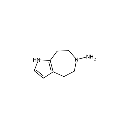 NN1CCc2cc[nH]c2CC1